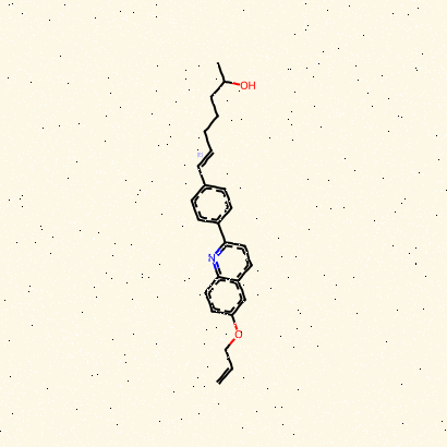 C=CCOc1ccc2nc(-c3ccc(/C=C/CCCC(C)O)cc3)ccc2c1